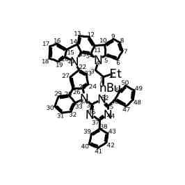 CCCCC(CC)Cn1c2ccccc2c2ccc3c4ccccc4n(-c4ccc5c(c4)c4ccccc4n5-c4nc(-c5ccccc5)nc(-c5ccccc5)n4)c3c21